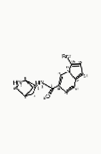 O=C(NC1CC2CNC1C2)c1ccc2ccc(Br)n2c1